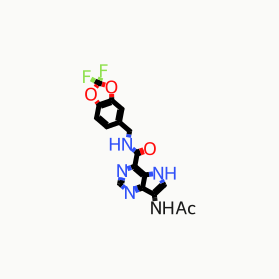 CC(=O)Nc1c[nH]c2c(C(=O)NCc3ccc4c(c3)OC(F)(F)O4)ncnc12